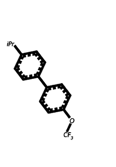 CC(C)c1ccc(-c2ccc(OC(F)(F)F)cc2)cc1